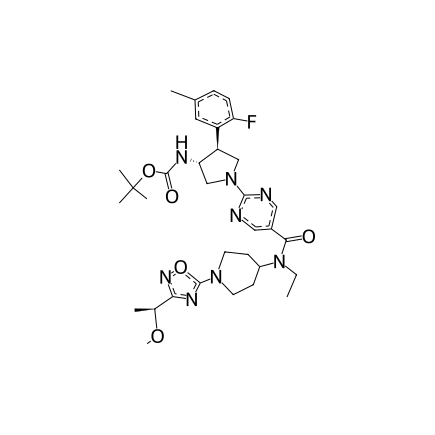 CCN(C(=O)c1cnc(N2C[C@H](NC(=O)OC(C)(C)C)[C@@H](c3cc(C)ccc3F)C2)nc1)C1CCN(c2nc([C@H](C)OC)no2)CC1